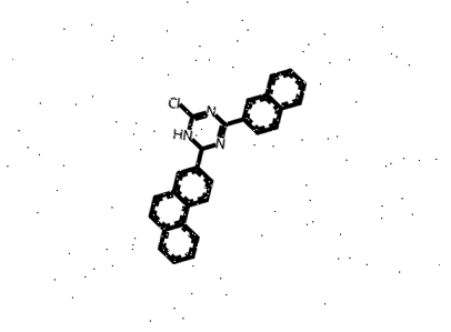 ClC1=NC(c2ccc3ccccc3c2)=NC(c2ccc3c(ccc4ccccc43)c2)N1